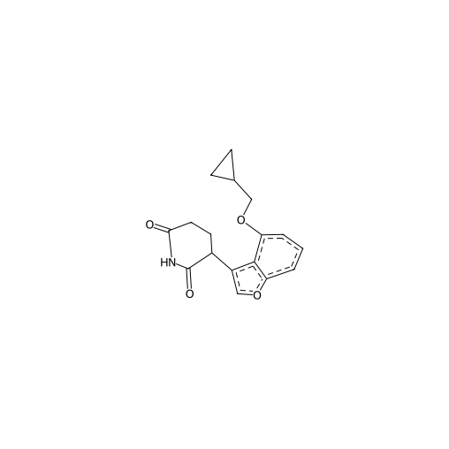 O=C1CCC(c2coc3cccc(OCC4CC4)c23)C(=O)N1